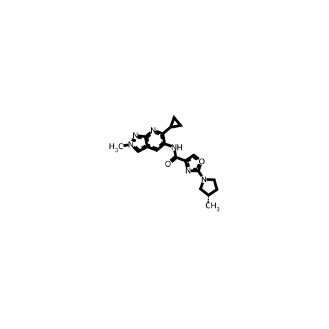 C[C@H]1CCN(c2nc(C(=O)Nc3cc4cn(C)nc4nc3C3CC3)co2)C1